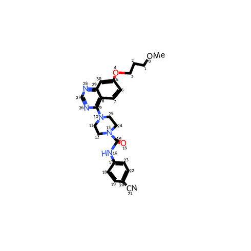 COCCCOc1ccc2c(N3CCN(C(=O)Nc4ccc(C#N)cc4)CC3)ncnc2c1